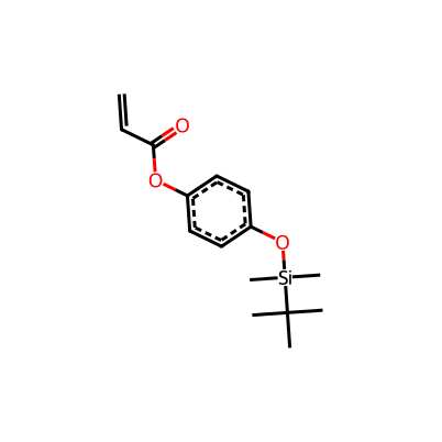 C=CC(=O)Oc1ccc(O[Si](C)(C)C(C)(C)C)cc1